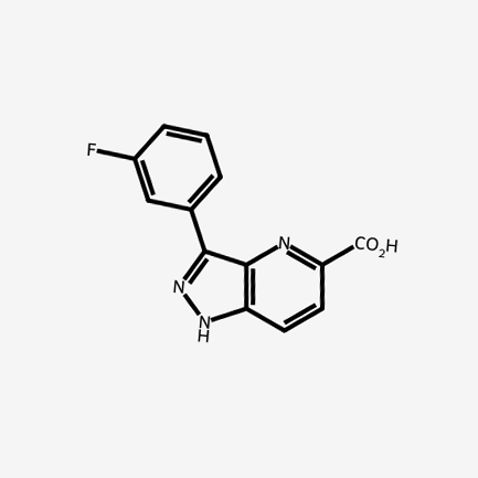 O=C(O)c1ccc2[nH]nc(-c3cccc(F)c3)c2n1